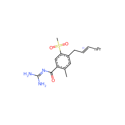 CCC/C=C/Cc1cc(C)c(C(=O)N=C(N)N)cc1S(C)(=O)=O